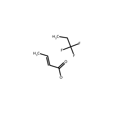 CC=CC([O])=O.[CH2]CC(F)(F)F